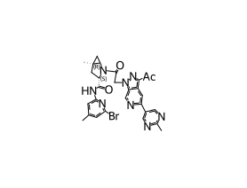 CC(=O)c1nn(CC(=O)N2C3C[C@]3(C)C[C@H]2C(=O)Nc2cc(C)cc(Br)n2)c2cnc(-c3cnc(C)nc3)cc12